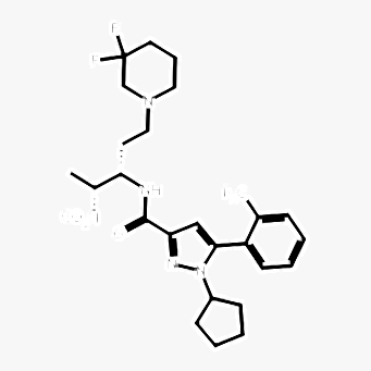 C[C@@H](C(=O)O)[C@H](CCN1CCCC(F)(F)C1)NC(=O)c1cc(-c2ccccc2C(F)(F)F)n(C2CCCC2)n1